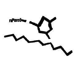 CCCCCC.CCCCCCCCCCCC.Cc1cc(C)cc(C)c1